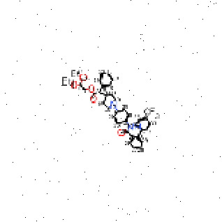 CCOC(COC(=O)C(c1ccccc1)C1CCN(c2ccc(NC(=O)c3ccccc3-c3ccc(C(F)(F)F)cc3)cc2)CC1)OCC